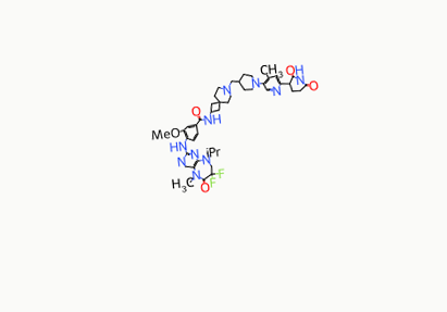 COc1cc(C(=O)NC2CC3(CCN(CC4CCN(c5cnc(C6CCC(=O)NC6=O)cc5C)CC4)CC3)C2)ccc1Nc1ncc2c(n1)N(C(C)C)CC(F)(F)C(=O)N2C